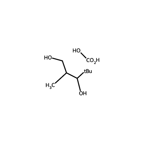 CC(CO)C(O)C(C)(C)C.O=C(O)O